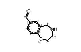 O=Cc1ccc2c(c1)CNCCO2